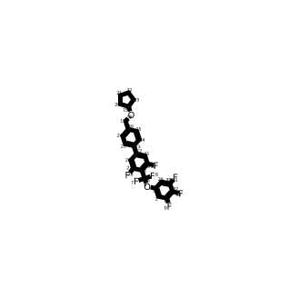 Fc1cc(OC(F)(F)c2c(F)cc(-c3ccc(COC4CCCC4)cc3)cc2F)cc(F)c1F